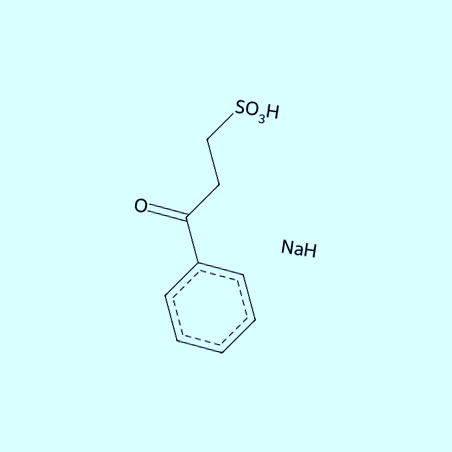 O=C(CCS(=O)(=O)O)c1ccccc1.[NaH]